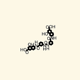 O=C(Nc1cccc(C(=O)Nc2ccc3cc(C(=O)O)cc(O)c3c2)c1)Nc1cccc(C(=O)Nc2ccc3cc(C(=O)O)cc(O)c3c2)c1